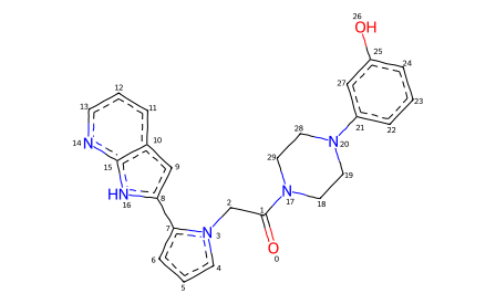 O=C(Cn1cccc1-c1cc2cccnc2[nH]1)N1CCN(c2cccc(O)c2)CC1